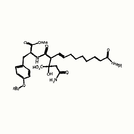 CCCCCCCC(=O)CCCCCC/C=C/C(C(=O)N[C@@H](Cc1ccc(OCCCC)cc1)C(=O)OC)C(O)(CC(N)=O)C(=O)O